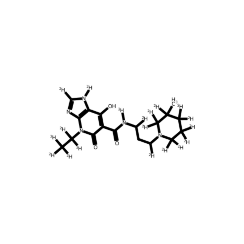 [2H]c1nc2c(c(O)c(C(=O)N([2H])C([2H])CC([2H])N3C([2H])([2H])C([2H])([2H])C([2H])([2H])C([2H])(C)C3([2H])[2H])c(=O)n2C([2H])([2H])C([2H])([2H])[2H])n1[2H]